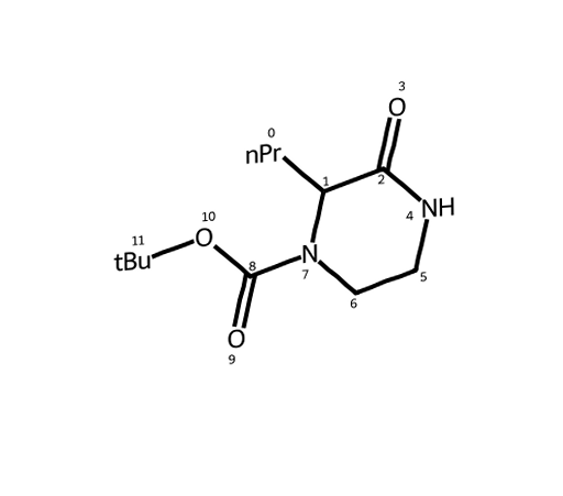 CCCC1C(=O)NCCN1C(=O)OC(C)(C)C